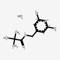 CC(C)(N)C(=O)OCc1cc(Cl)nc(Cl)c1.Cl